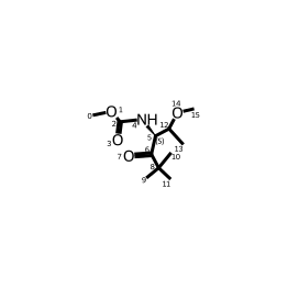 COC(=O)N[C@H](C(=O)C(C)(C)C)C(C)OC